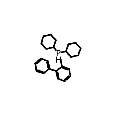 C1CCC(PC2CCCCC2)CC1.Cc1ccccc1-c1ccccc1